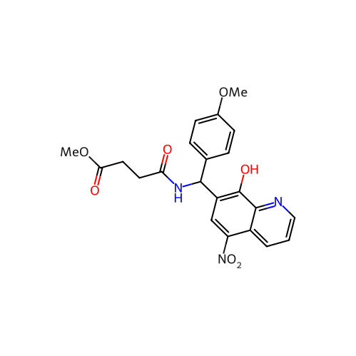 COC(=O)CCC(=O)NC(c1ccc(OC)cc1)c1cc([N+](=O)[O-])c2cccnc2c1O